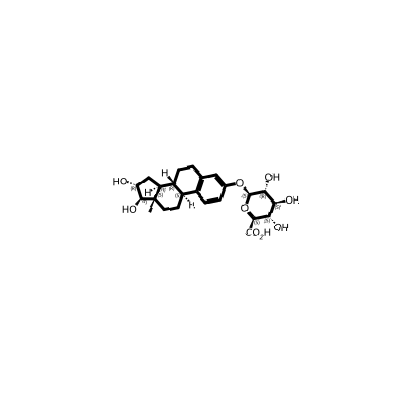 C[C@]12CC[C@@H]3c4ccc(O[C@@H]5O[C@H](C(=O)O)[C@@H](O)[C@H](O)[C@H]5O)cc4CC[C@H]3[C@@H]1C[C@@H](O)[C@@H]2O